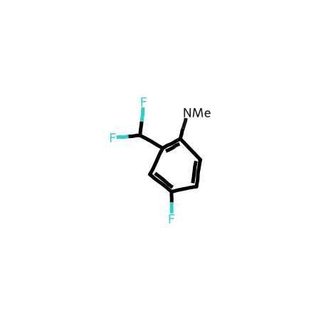 CNc1ccc(F)cc1C(F)F